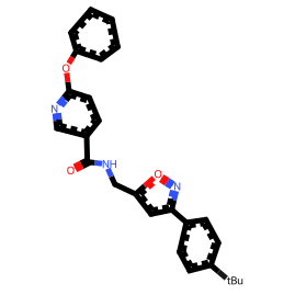 CC(C)(C)c1ccc(-c2cc(CNC(=O)c3ccc(Oc4ccccc4)nc3)on2)cc1